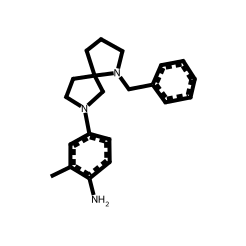 Cc1cc(N2CCC3(CCCN3Cc3ccccc3)C2)ccc1N